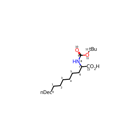 CCCCCCCCCCCCCCCCC(NC(=O)OC(C)(C)C)C(=O)O